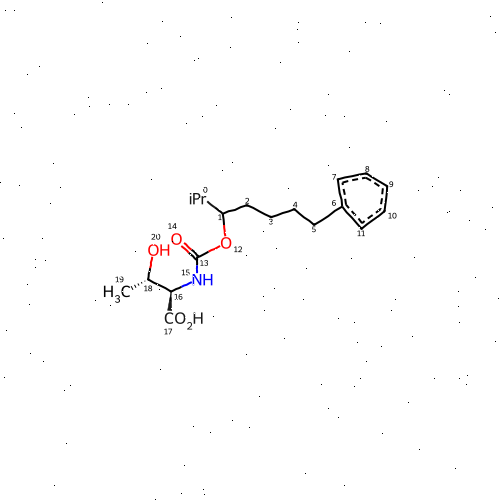 CC(C)C(CCCCc1ccccc1)OC(=O)N[C@@H](C(=O)O)[C@H](C)O